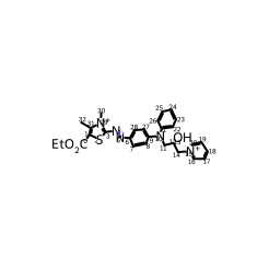 CCOC(=O)c1sc(/N=N/c2ccc(N(CC(O)C[n+]3ccccc3)c3ccccc3)cc2)[n+](C)c1C